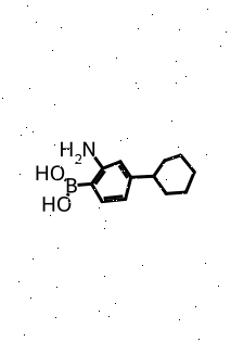 Nc1cc(C2CCCCC2)ccc1B(O)O